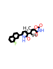 C/C(=C1\OC(=O)NC1=O)C(c1ccc(-c2ccc3cccc(F)c3c2)[nH]c1=O)C(C)C